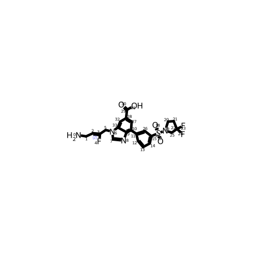 NC/C=C(\F)Cn1cnc2c(-c3cccc(S(=O)(=O)N4CCC(F)(F)C4)c3)cc(C(=O)O)cc21